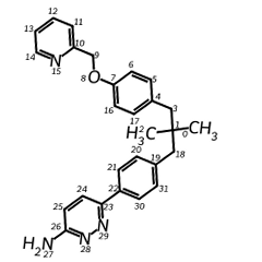 CC(C)(Cc1ccc(OCc2ccccn2)cc1)Cc1ccc(-c2ccc(N)nn2)cc1